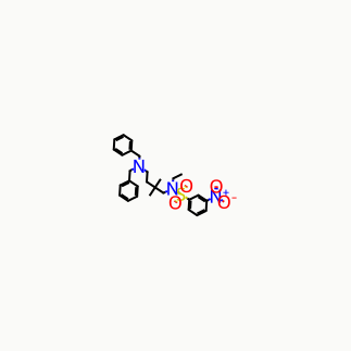 CCN(CC(C)(C)CCN(Cc1ccccc1)Cc1ccccc1)S(=O)(=O)c1cccc([N+](=O)[O-])c1